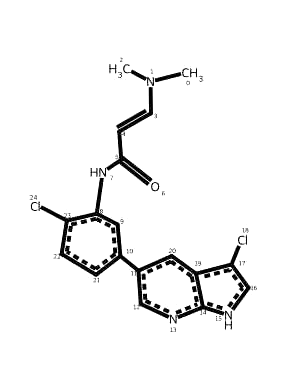 CN(C)/C=C/C(=O)Nc1cc(-c2cnc3[nH]cc(Cl)c3c2)ccc1Cl